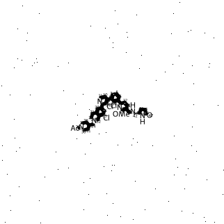 COc1nc(-c2cccc(-c3ccnc(-c4cc(Cl)c5c(c4)CCN(CC4CCN(C(C)=O)CC4)C5)c3Cl)c2Cl)ccc1CNC[C@@H]1CCC(=O)N1